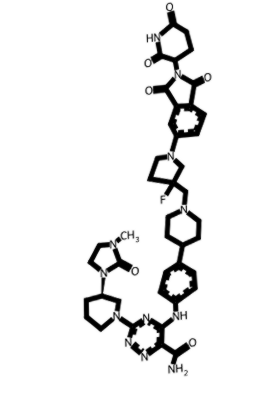 CN1CCN([C@@H]2CCCN(c3nnc(C(N)=O)c(Nc4ccc(C5CCN(CC6(F)CCN(c7ccc8c(c7)C(=O)N(C7CCC(=O)NC7=O)C8=O)C6)CC5)cc4)n3)C2)C1=O